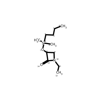 CCCC[Si](C)(C)OC1CN(CC)C1=O